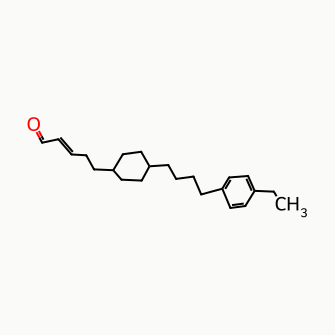 CCc1ccc(CCCCC2CCC(CCC=CC=O)CC2)cc1